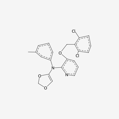 Cc1cccc(N(C2=COCO2)c2ncccc2OCc2c(Cl)cccc2Cl)c1